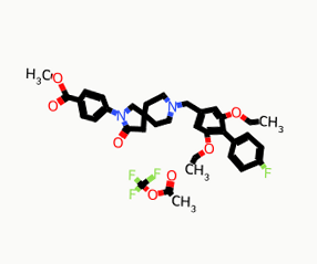 CC(=O)OC(F)(F)F.CCOc1cc(CN2CCC3(CC2)CC(=O)N(c2ccc(C(=O)OC)cc2)C3)cc(OCC)c1-c1ccc(F)cc1